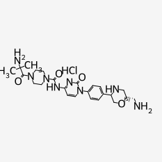 CC(C)(N)C(=O)N1CCN(C(=O)Nc2ccn(-c3ccc(C4CO[C@@H](CN)CN4)cc3)c(=O)n2)CC1.Cl